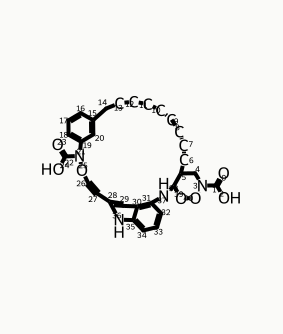 O=C(O)N1CC2CCCCCCCCCc3cccc(c3)N(C(=O)O)OC#Cc3cc4c(cccc4[nH]3)NC2OO1